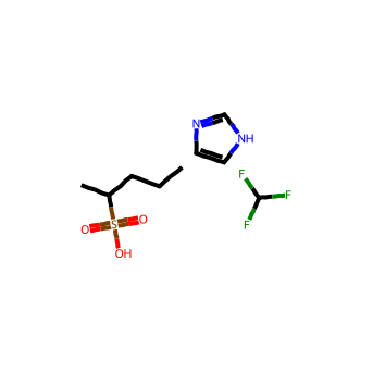 CCCC(C)S(=O)(=O)O.FC(F)F.c1c[nH]cn1